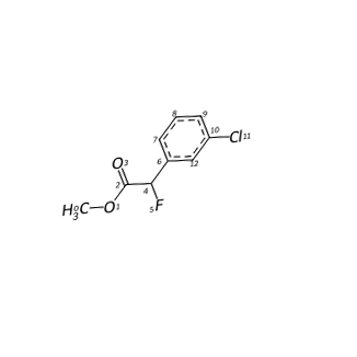 COC(=O)C(F)c1cccc(Cl)c1